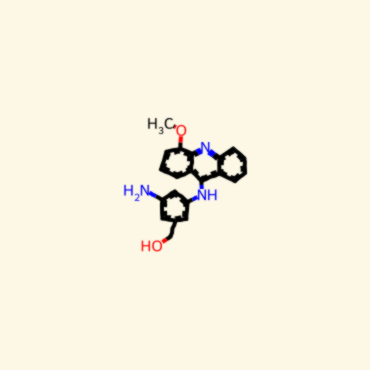 COc1cccc2c(Nc3cc(N)cc(CO)c3)c3ccccc3nc12